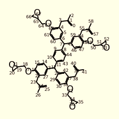 C=C(C)Cc1cc(C(c2ccc(C(c3ccc(OCC4CO4)c(CC(=C)C)c3)c3ccc(OCC4CO4)c(CC(=C)C)c3)cc2)c2ccc(OCC3CO3)c(CC(=C)C)c2)ccc1OCC1CO1